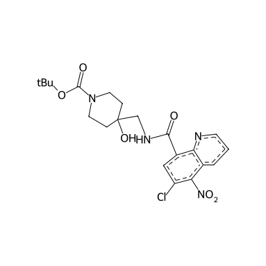 CC(C)(C)OC(=O)N1CCC(O)(CNC(=O)c2cc(Cl)c([N+](=O)[O-])c3cccnc23)CC1